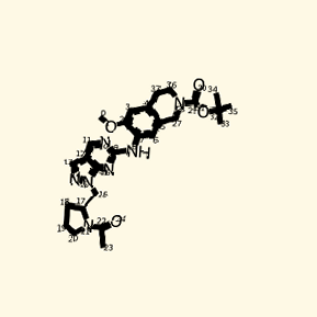 COc1cc2c(cc1Nc1ncc3cnn(C[C@@H]4CCCN4C(C)=O)c3n1)CN(C(=O)OC(C)(C)C)CC2